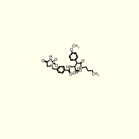 CCCCNC(=O)C(c1ccc(OC)cc1)C(NC(=O)c1ccc(CN2CC(=O)NS2(=O)=O)cc1)C(=O)O